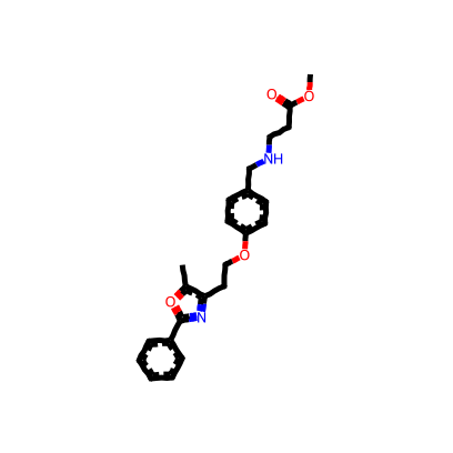 COC(=O)CCNCc1ccc(OCCc2nc(-c3ccccc3)oc2C)cc1